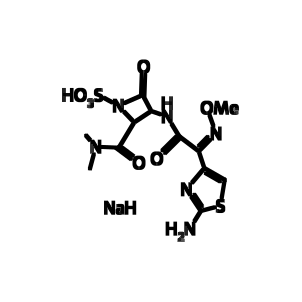 CO/N=C(\C(=O)NC1C(=O)N(S(=O)(=O)O)C1C(=O)N(C)C)c1csc(N)n1.[NaH]